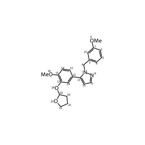 COc1cccc(Cn2nccc2-c2ccc(OC)c(OC3CCCO3)c2)c1